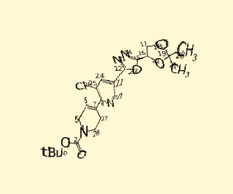 CC(C)(C)OC(=O)N1CC=C(c2ncc(-c3nnc([C@H]4COC(C)(C)O4)o3)cc2Cl)CC1